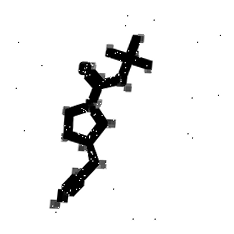 CC(C)(C)OC(=O)N1CC[C@H](CC#N)C1